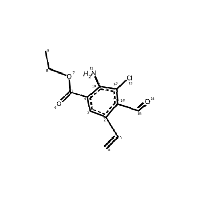 C=Cc1cc(C(=O)OCC)c(N)c(Cl)c1C=O